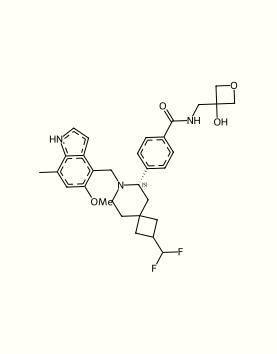 COc1cc(C)c2[nH]ccc2c1CN1CCC2(CC(C(F)F)C2)C[C@H]1c1ccc(C(=O)NCC2(O)COC2)cc1